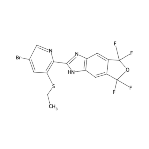 CCSc1cc(Br)cnc1-c1nc2cc3c(cc2[nH]1)C(F)(F)OC3(F)F